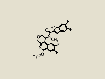 COc1nc2c(c3cc(F)c(F)cc13)[C@H](N(C)C(=O)c1cc3cc(F)c(F)cc3[nH]1)COC2